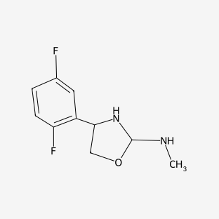 CNC1NC(c2cc(F)ccc2F)CO1